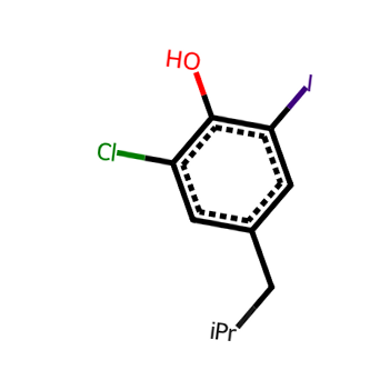 CC(C)Cc1cc(Cl)c(O)c(I)c1